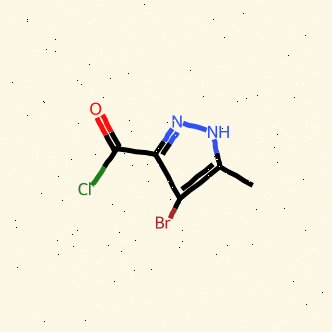 Cc1[nH]nc(C(=O)Cl)c1Br